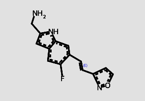 NCc1cc2cc(F)c(/C=C/c3ccon3)cc2[nH]1